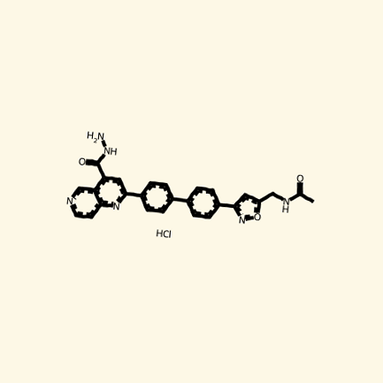 CC(=O)NCc1cc(-c2ccc(-c3ccc(-c4cc(C(=O)NN)c5cnccc5n4)cc3)cc2)no1.Cl